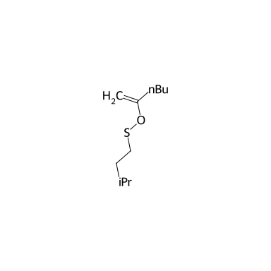 C=C(CCCC)OSCCC(C)C